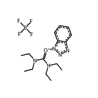 CCN(CC)C(=[O+]n1nnc2ccccc21)N(CC)CC.F[B-](F)(F)F